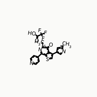 Cn1cc(-c2csc3c(-c4ccncc4)nn(C)c(=O)c23)cn1.O=C(O)C(F)(F)F